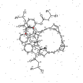 CCC(CC(=O)Oc1ccccc1-c1c(-c2ccccc2OC(=O)CC(CC)C(C)C)c2c(-c3ccccc3OC(=O)CC(CC)C(C)C)c3nc(cc4ccc(cc5nc(cc1n2-c1ccccc1OC(=O)CC(CC)C(C)C)C=C5)[nH]4)C=C3)C(C)C